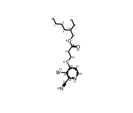 CCCCC(CC)COC(=O)CCSc1ccnc(C#N)c1Br